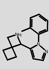 Cc1ccccc1-n1nccc1C1NCC12CCC2